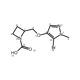 Cn1ncc(OCC2CCN2C(=O)O)c1Br